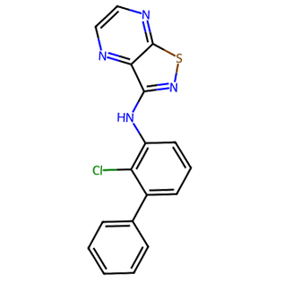 Clc1c(Nc2nsc3nccnc23)cccc1-c1ccccc1